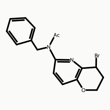 CC(=O)N(Cc1ccccc1)c1ccc2c(n1)C(Br)CCO2